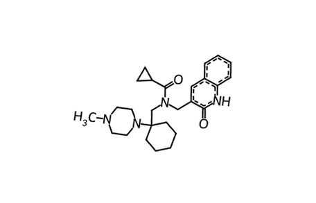 CN1CCN(C2(CN(Cc3cc4ccccc4[nH]c3=O)C(=O)C3CC3)CCCCC2)CC1